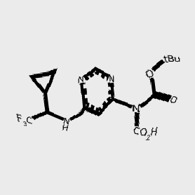 CC(C)(C)OC(=O)N(C(=O)O)c1cc(NC(C2CC2)C(F)(F)F)ncn1